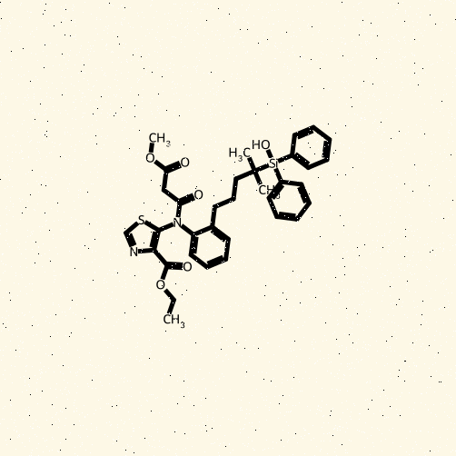 CCOC(=O)c1ncsc1N(C(=O)CC(=O)OC)c1ccccc1CCCC(C)(C)[Si](O)(c1ccccc1)c1ccccc1